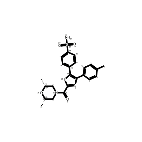 Cc1ccc(-c2nc(C(=O)N3C[C@@H](C)O[C@@H](C)C3)sc2-c2ccc(S(N)(=O)=O)cc2)cc1